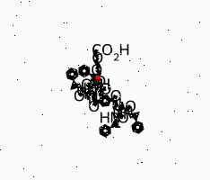 O=C(O)COCCOCCOCC(=O)Nc1cc(C(=O)N2C[C@@H](C(=O)N[C@H]3C[C@@H]3c3ccccc3)[C@H](C(=O)N[C@H]3C[C@@H]3c3ccccc3)C2)ccc1C(=O)N1C[C@@H](C(=O)N[C@H]2C[C@@H]2c2ccccc2)[C@H](C(=O)N[C@H]2C[C@@H]2c2ccccc2)C1